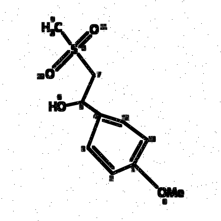 COc1ccc(C(O)CS(C)(=O)=O)cc1